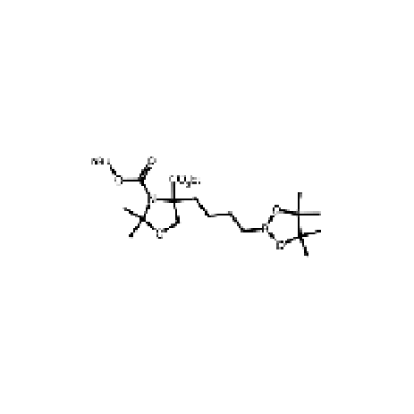 CCCCOC(=O)N1C(C)(C)OCC1(CCCCB1OC(C)(C)C(C)(C)O1)C(=O)OCC